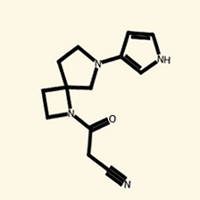 N#CCC(=O)N1CCC12CCN(c1cc[nH]c1)C2